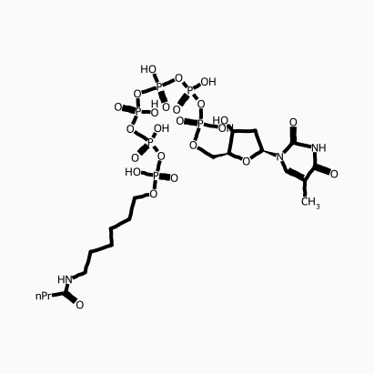 CCCC(=O)NCCCCCCOP(=O)(O)OP(=O)(O)OP(=O)(O)OP(=O)(O)OP(=O)(O)OP(=O)(O)OC[C@@H]1O[C@H](n2cc(C)c(=O)[nH]c2=O)CC1O